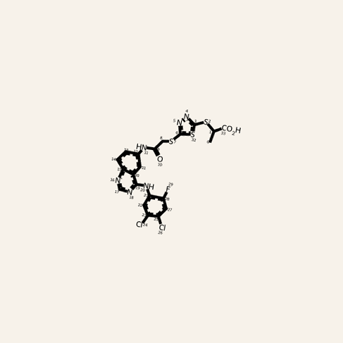 CC(Sc1nnc(SCC(=O)Nc2ccc3ncnc(Nc4cc(Cl)c(Cl)cc4F)c3c2)s1)C(=O)O